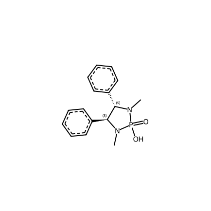 CN1[C@@H](c2ccccc2)[C@H](c2ccccc2)N(C)P1(=O)O